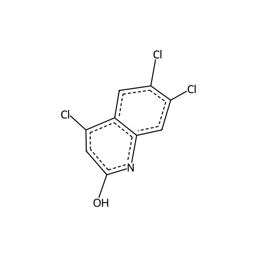 Oc1cc(Cl)c2cc(Cl)c(Cl)cc2n1